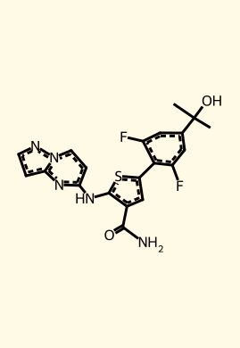 CC(C)(O)c1cc(F)c(-c2cc(C(N)=O)c(Nc3ccn4nccc4n3)s2)c(F)c1